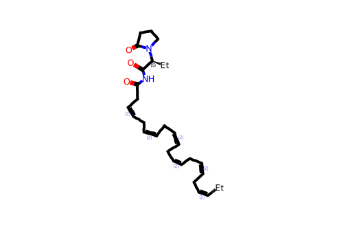 CC/C=C\C/C=C\C/C=C\C/C=C\C/C=C\C/C=C\CC(=O)NC(=O)[C@H](CC)N1CCCC1=O